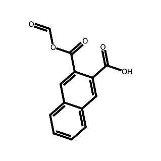 O=COC(=O)c1cc2ccccc2cc1C(=O)O